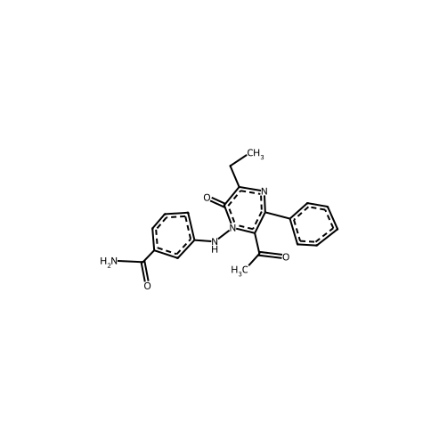 CCc1nc(-c2ccccc2)c(C(C)=O)n(Nc2cccc(C(N)=O)c2)c1=O